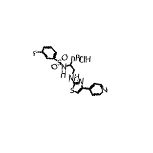 CCCC(CNc1nc(-c2ccncc2)cs1)NS(=O)(=O)c1cccc(F)c1.Cl